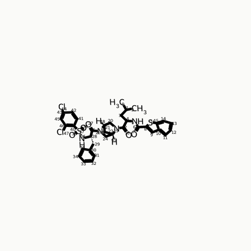 CC(C)CC(NC(=O)c1cc2ccccc2s1)C(=O)N1C[C@@H]2C[C@H]1CN2C(=O)[C@H](Cc1ccccc1)NS(=O)(=O)c1ccc(Cl)cc1Cl